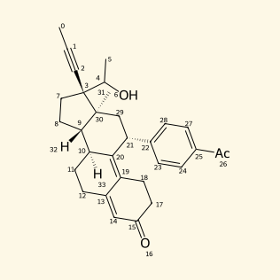 CC#C[C@]1(C(C)O)CC[C@H]2[C@@H]3CCC4=CC(=O)CCC4=C3[C@@H](c3ccc(C(C)=O)cc3)C[C@@]21C